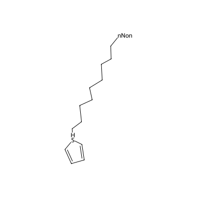 CCCCCCCCCCCCCCCCCC[SH]1C=CC=C1